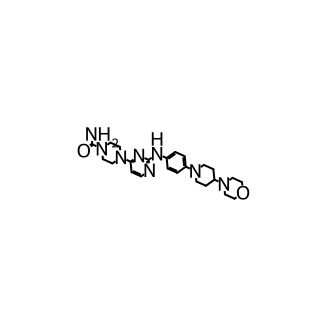 NC(=O)N1CCN(c2ccnc(Nc3ccc(N4CCC(N5CCOCC5)CC4)cc3)n2)CC1